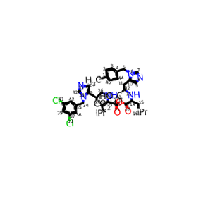 Cc1ccc(Cn2cncc2CC(NC(CC(C)C)C(=O)OC(=O)C(CC(C)C)NCC(C(=O)O)c2cncn2Cc2cc(Cl)cc(Cl)c2)C(=O)O)cc1